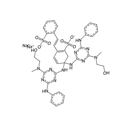 CN(CCO)c1nc(Nc2ccccc2)nc(NC2(Nc3nc(Nc4ccccc4)nc(N(C)CCO)n3)C=CC(C=Cc3ccccc3S(=O)(=O)[O-])=C(S(=O)(=O)[O-])C2)n1.[Na+].[Na+]